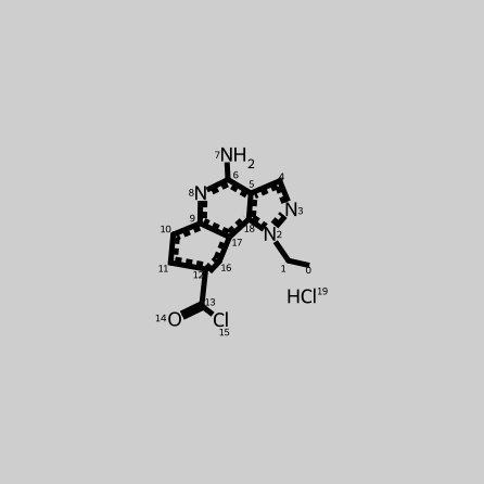 CCn1ncc2c(N)nc3ccc(C(=O)Cl)cc3c21.Cl